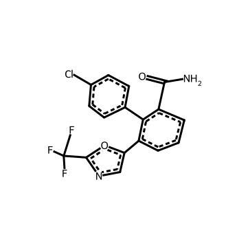 NC(=O)c1cccc(-c2cnc(C(F)(F)F)o2)c1-c1ccc(Cl)cc1